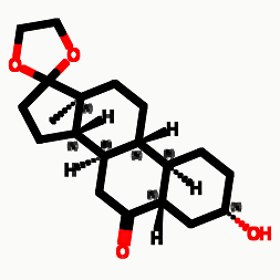 C[C@]12CC[C@@H]3[C@H]4CC[C@H](O)C[C@@H]4C(=O)C[C@H]3[C@@H]1CCC21OCCO1